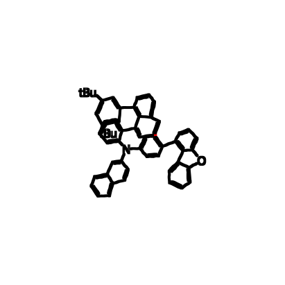 CC(C)(C)c1cc(-c2cccc3cccc(-c4ccccc4N(c4ccc(-c5cccc6oc7ccccc7c56)cc4)c4ccc5ccccc5c4)c23)cc(C(C)(C)C)c1